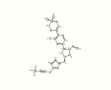 C[Si](C)(C)C#CCc1cn(C[C@H]2CN(c3ccc(C4=CCS(=O)(=O)CC4)c(F)c3)C(C=O)O2)nn1